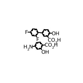 Nc1ccc(C(=O)O)c(O)c1.O=C(O)c1cc(-c2ccc(F)cc2F)ccc1O